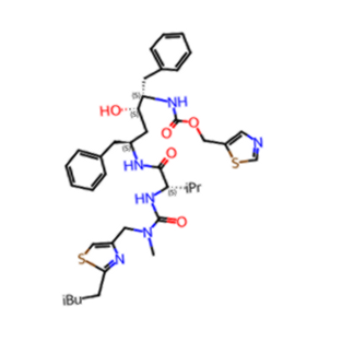 CCC(C)Cc1nc(CN(C)C(=O)N[C@H](C(=O)N[C@@H](Cc2ccccc2)C[C@H](O)[C@H](Cc2ccccc2)NC(=O)OCc2cncs2)C(C)C)cs1